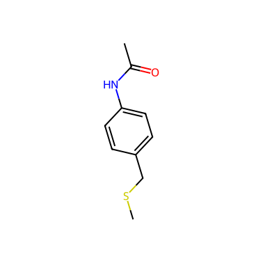 CSCc1ccc(NC(C)=O)cc1